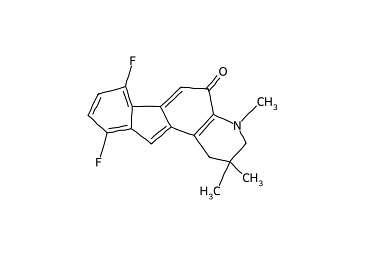 CN1CC(C)(C)CC2=C1C(=O)C=C1C2=Cc2c(F)ccc(F)c21